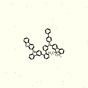 CC1(C)c2ccccc2-c2ccc(N(c3ccc(-c4ccccc4)cc3)c3cccc(-c4ccccc4-c4ccc5c(c4)c4ccccc4n5-c4ccc5c(c4)sc4ccccc45)c3)cc21